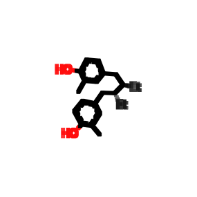 CC[C@H](Cc1ccc(O)c(C)c1)[C@H](CC)Cc1ccc(O)c(C)c1